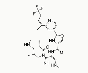 C=CC(=O)N(CC(C)CNC)C(=N)/C(=C\NC)NC(=O)C1=COC(c2ccnc(/C(C)=C\CC(F)(F)F)c2)N1